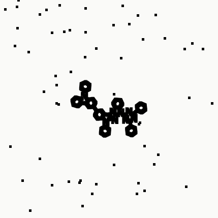 c1ccc(-c2nc(-c3ccccc3)nc(-n3c4ccccc4n4c5c6cc(-c7ccc8c(c7)c7ccccc7n8-c7ccccc7)ccc6n(-c6ccccc6)c5nc34)n2)cc1